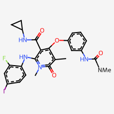 CNC(=O)Nc1cccc(Oc2c(C(=O)NC3CC3)c(Nc3ccc(I)cc3F)n(C)c(=O)c2C)c1